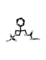 CCCS(=O)(=O)N1CC(CNC(=O)NC(C)CC)(c2ccccn2)C1